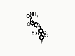 CCOc1cc(CN2CCC3(CC2)CC(=O)N(CCC(N)=O)C3)cc(OCC)c1-c1ccc(F)cc1